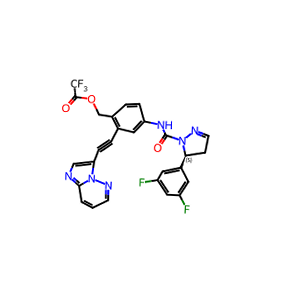 O=C(Nc1ccc(COC(=O)C(F)(F)F)c(C#Cc2cnc3cccnn23)c1)N1N=CC[C@H]1c1cc(F)cc(F)c1